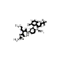 CC/C=C(\C(=O)N[C@H]1CC[C@@H](N(C)c2cc(C(F)(F)F)nc3ccc(Cl)cc23)CC1)c1csc(N)n1